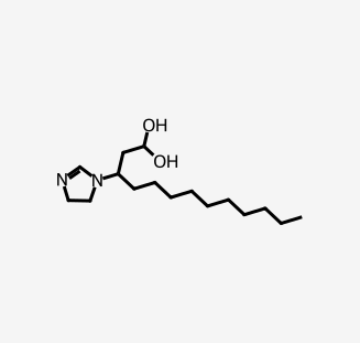 CCCCCCCCCCC(CC(O)O)N1C=NCC1